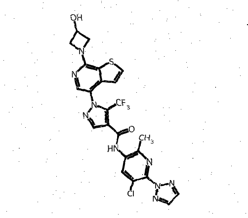 Cc1nc(-n2nccn2)c(Cl)cc1NC(=O)c1cnn(-c2cnc(N3CC(O)C3)c3sccc23)c1C(F)(F)F